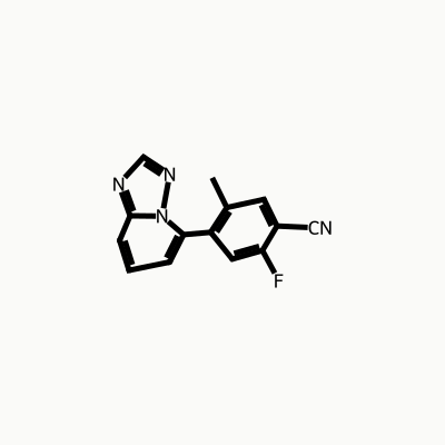 Cc1cc(C#N)c(F)cc1-c1cccc2ncnn12